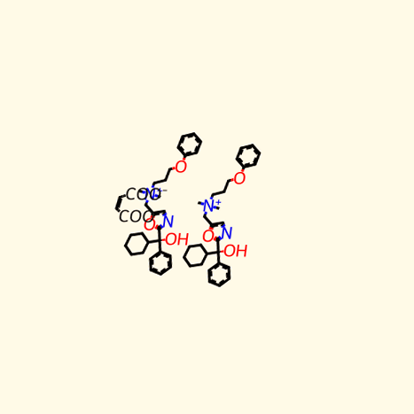 C[N+](C)(CCCOc1ccccc1)Cc1cnc([C@](O)(c2ccccc2)C2CCCCC2)o1.C[N+](C)(CCCOc1ccccc1)Cc1cnc([C@](O)(c2ccccc2)C2CCCCC2)o1.O=C([O-])/C=C\C(=O)[O-]